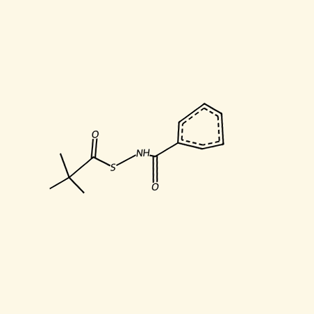 CC(C)(C)C(=O)SNC(=O)c1ccccc1